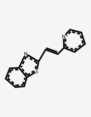 C(=Cc1nc2ccccc2s1)c1ccccn1